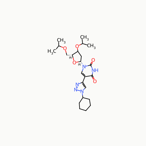 CC(C)OC[C@H]1O[C@@H](n2cc(-c3cn(C4CCCCC4)nn3)c(=O)[nH]c2=O)CC1OC(C)C